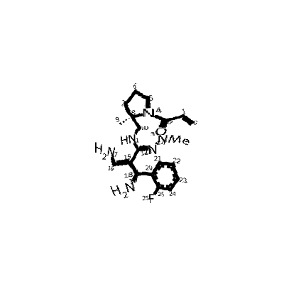 C=CC(=O)N1CCC[C@]1(C)CNC(=NNC)/C(=C\N)C(N)c1ccccc1F